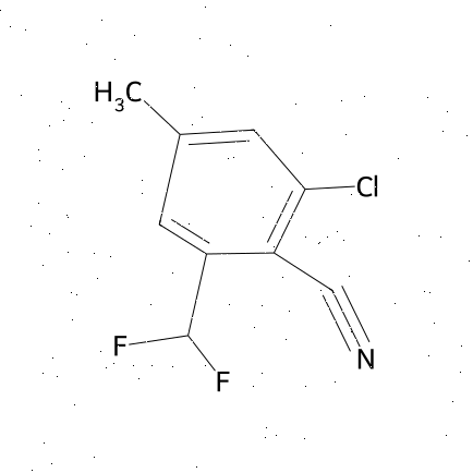 Cc1cc(Cl)c(C#N)c(C(F)F)c1